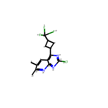 Cc1cc2c(C3CC(C(F)(F)F)C3)nc(Cl)nc2nc1C